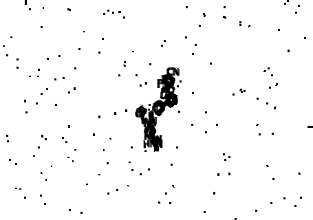 Cc1nnc(-c2cc3nc(CN4CCC(c5cccc6c5OC(C)(c5ccc(C#N)cc5F)O6)CC4)n(C[C@@H]4CCO4)c3cn2)[nH]1